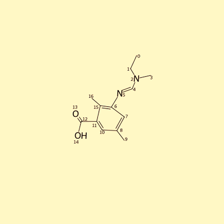 CCN(C)C=Nc1cc(C)cc(C(=O)O)c1C